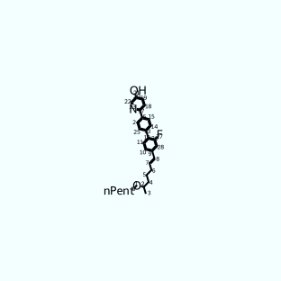 CCCCCOC(C)CCCC=Cc1ccc(-c2ccc(-c3ccc(O)cn3)cc2)c(F)c1